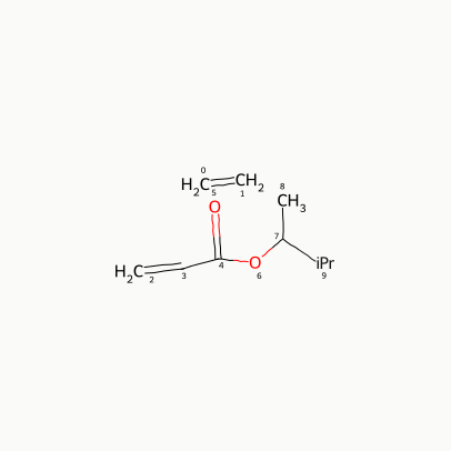 C=C.C=CC(=O)OC(C)C(C)C